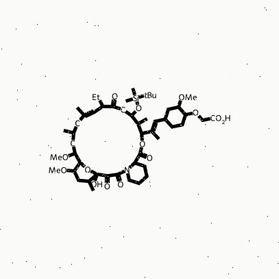 CCC1/C=C(\C)CC(C)CC(OC)C2OC(O)(C(=O)C(=O)N3CCCCC3C(=O)OC(C(C)=CC3CCC(OCC(=O)O)C(OC)C3)C(C)C(O[Si](C)(C)C(C)(C)C)CC1=O)C(C)CC2OC